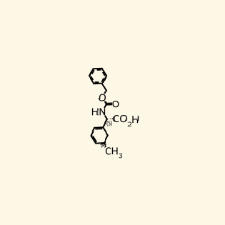 C[C@H]1C=CC=C([C@H](NC(=O)OCc2ccccc2)C(=O)O)C1